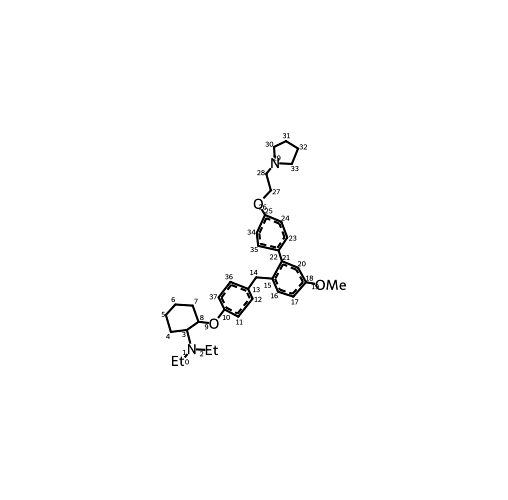 CCN(CC)C1CCCCC1Oc1ccc(Cc2ccc(OC)cc2-c2ccc(OCCN3CCCC3)cc2)cc1